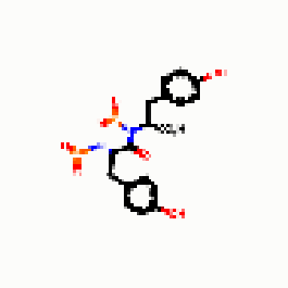 O=C(O)C(Cc1ccc(O)cc1)N(C(=O)C(Cc1ccc(O)cc1)NP(=O)=O)P(=O)=O